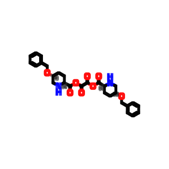 O=C(OC(=O)[C@@H]1CC[C@@H](OCc2ccccc2)CN1)C(=O)OC(=O)[C@@H]1CC[C@@H](OCc2ccccc2)CN1